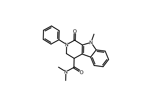 CN(C)C(=O)C1CN(c2ccccc2)C(=O)c2c1c1ccccc1n2C